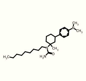 CCCCCCCCCN(C(N)=O)C1(C)CCCC(c2ccc(N(C)C)cc2)C1